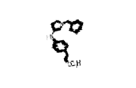 O=C(O)/C=C/c1ccc(N[C@@H]2CCN(Cc3ccccc3)C2)cc1